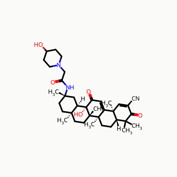 CC1(C)C(=O)C(C#N)=C[C@]2(C)C3=CC(=O)[C@]4(O)[C@@H]5C[C@@](C)(NC(=O)CN6CCC(O)CC6)CC[C@]5(C)CC[C@@]4(C)[C@]3(C)CC[C@@H]12